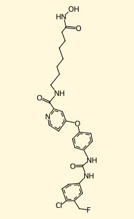 O=C(CCCCCCCNC(=O)c1cc(Oc2ccc(NC(=O)Nc3ccc(Cl)c(CF)c3)cc2)ccn1)NO